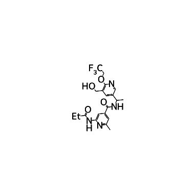 CCC(=O)Nc1cc(C(=O)NC(C)c2cnc(OCC(F)(F)F)c(CO)c2)cc(C)n1